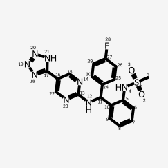 CS(=O)(=O)Nc1ccccc1C(Nc1ncc(-c2nnn[nH]2)cn1)c1ccc(F)cc1